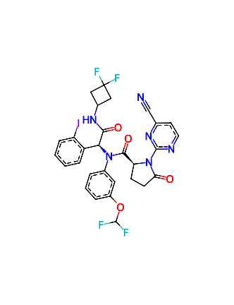 N#Cc1ccnc(N2C(=O)CC[C@H]2C(=O)N(c2cccc(OC(F)F)c2)[C@H](C(=O)NC2CC(F)(F)C2)c2ccccc2I)n1